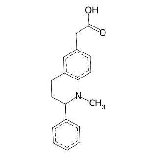 CN1c2ccc(CC(=O)O)cc2CCC1c1ccccc1